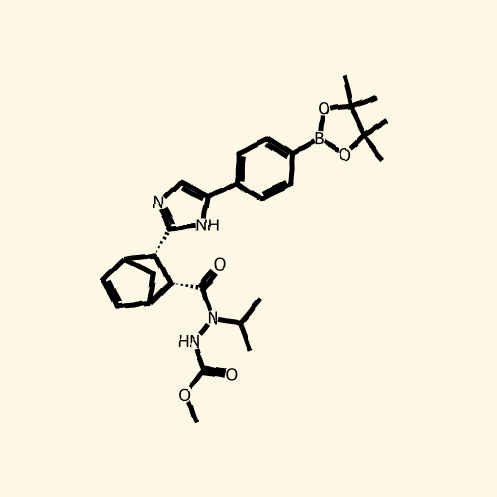 COC(=O)NN(C(=O)[C@@H]1C2C=CC(C2)[C@@H]1c1ncc(-c2ccc(B3OC(C)(C)C(C)(C)O3)cc2)[nH]1)C(C)C